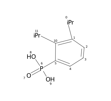 CC(C)c1cccc(P(=O)(O)O)c1C(C)C